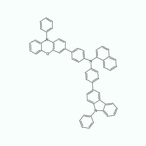 c1ccc(N2c3ccccc3Oc3cc(-c4ccc(N(c5ccc(-c6ccc7c(c6)c6ccccc6n7-c6ccccc6)cc5)c5cccc6ccccc56)cc4)ccc32)cc1